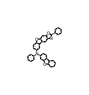 c1ccc(-c2nc3cc4c(cc3o2)oc2ccc(N(c3ccccc3)c3ccc5c(c3)oc3ccccc35)cc24)cc1